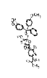 COc1ccc(C(OC[C@H]2O[C@@H](n3ccc(NC(C)=O)nc3=O)[C@@](O)(F)[C@@H]2O)(c2ccccc2)c2ccc(OC)cc2)cc1